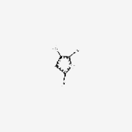 Oc1cc(Br)[se]c1Br